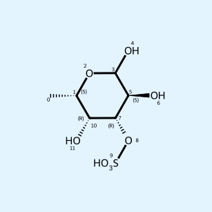 C[C@@H]1OC(O)[C@@H](O)[C@H](OS(=O)(=O)O)[C@@H]1O